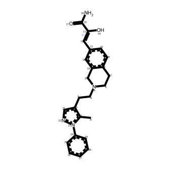 Cc1c(CCN2CCc3ccc(/C=C(\O)C(N)=O)cc3C2)cnn1-c1ccccc1